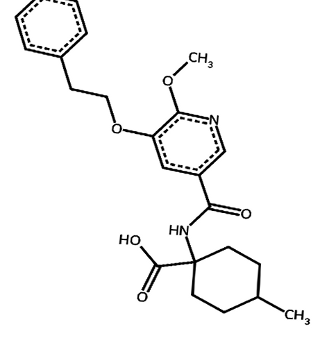 COc1ncc(C(=O)NC2(C(=O)O)CCC(C)CC2)cc1OCCc1ccccc1